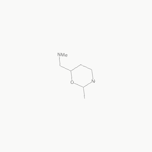 CNCC1CC[N]C(C)O1